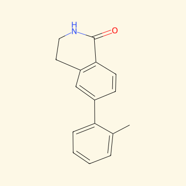 Cc1ccccc1-c1ccc2c(c1)CCNC2=O